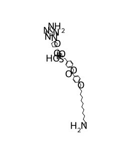 NCCCCCCCCCCCCOc1ccc(C(=O)Oc2ccc(CSP(=O)(O)OC[C@@H]3CC[C@H](n4cnc5c(N)ncnc54)O3)cc2)cc1